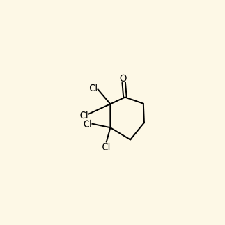 O=C1CCCC(Cl)(Cl)C1(Cl)Cl